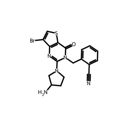 N#Cc1ccccc1Cn1c(N2CCC(N)C2)nc2c(Br)csc2c1=O